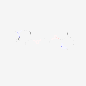 Cc1ccc(Cl)nc1OCCOc1ccnc(Br)c1